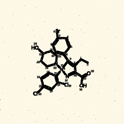 CCC1=C(c2ccc(Br)cc2)[N+](c2ccc(Cl)cc2Cl)(N2CCC(O)CC2)N=C1C(=O)O